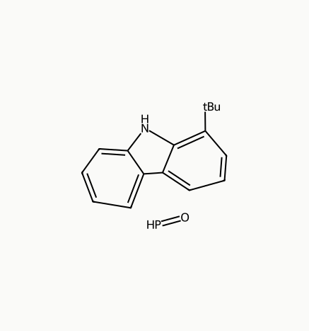 CC(C)(C)c1cccc2c1[nH]c1ccccc12.O=P